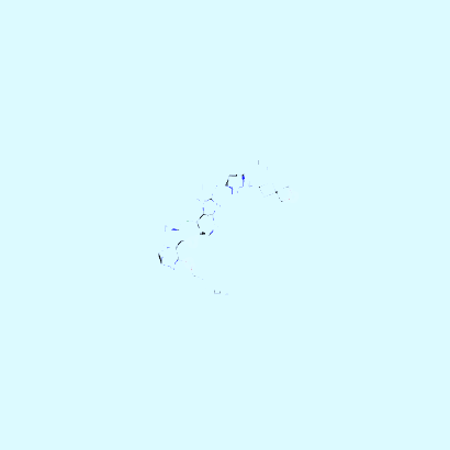 COCCOC1=NC=CN/C1=C(\C=N)Oc1cnc2nc(Nc3cc(C(F)(F)F)n(C4CC5(COC5)C4)n3)n(C)c2c1Cl